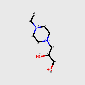 CC(=O)CN1CCN(CC(O)CO)CC1